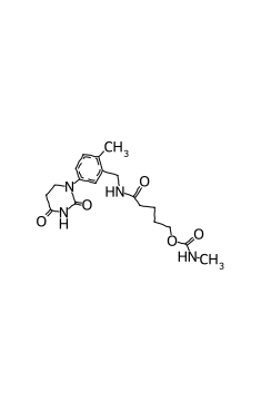 CNC(=O)OCCCCC(=O)NCc1cc(N2CCC(=O)NC2=O)ccc1C